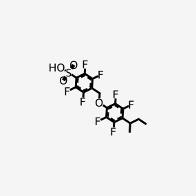 CCC(C)c1c(F)c(F)c(OCc2c(F)c(F)c(S(=O)(=O)O)c(F)c2F)c(F)c1F